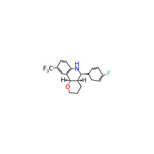 FC1=CCC([C@@H]2Nc3ccc(C(F)(F)F)cc3[C@H]3OCCC[C@H]32)C=C1